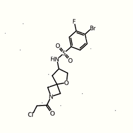 O=C(CCl)N1CC2(CC(NS(=O)(=O)c3ccc(Br)c(F)c3)CO2)C1